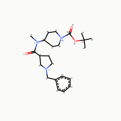 CN(C(=O)C1CCN(Cc2ccccc2)C1)C1CCN(C(=O)OC(C)(C)C)CC1